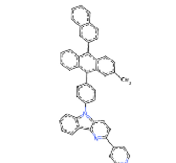 Cc1ccc2c(-c3ccc4ccccc4c3)c3ccccc3c(-c3ccc(-n4c5ccccc5c5nc(-c6ccncc6)ccc54)cc3)c2c1